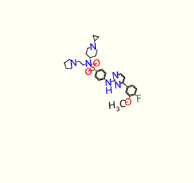 COc1cc(-c2ccnc(Nc3ccc(S(=O)(=O)N(CCN4CCCC4)C4CCN(C5CC5)CC4)cc3)n2)ccc1F